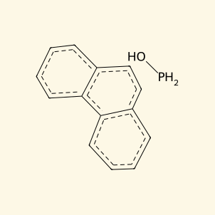 OP.c1ccc2c(c1)ccc1ccccc12